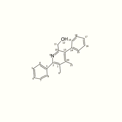 Cc1c(-c2ccccc2)nc(CO)c(-c2ccccc2)c1C